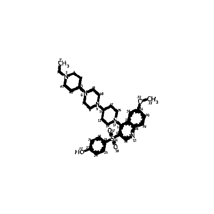 CCN1CCC(N2CCN(C3CCN(c4c(S(=O)(=O)c5ccc(O)cc5)cnc5ccc(OC)cc45)CC3)CC2)CC1